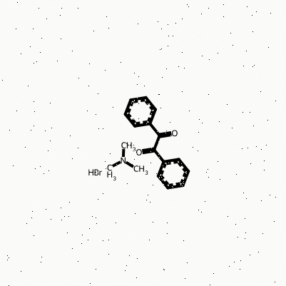 Br.CN(C)C.O=C(C(=O)c1ccccc1)c1ccccc1